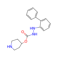 O=C(NNc1ccccc1-c1ccccc1)OC1CCNCC1